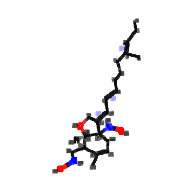 CC/C=C(\C)CCC/C=C/C=C1\CO[C@@H]2C(CN=O)C(C)=CCC12N=O